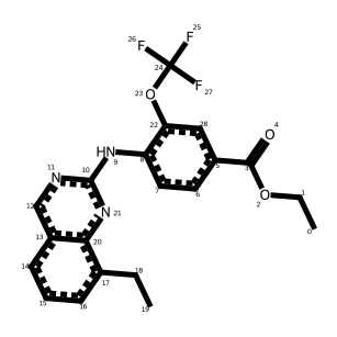 CCOC(=O)c1ccc(Nc2ncc3cccc(CC)c3n2)c(OC(F)(F)F)c1